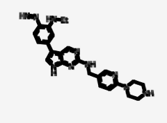 CCNc1cc(-c2c[nH]c3nc(NCc4ccc(N5CCNCC5)nc4)ncc23)ccc1N=N